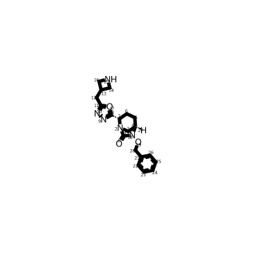 O=C1N2C[C@@H](CC[C@H]2c2nnc(CC3CNC3)o2)N1OCc1ccccc1